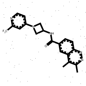 Cc1nnc2ccc(C(=O)NC3CN(c4ccnc(C(F)(F)F)c4)C3)cc2c1C